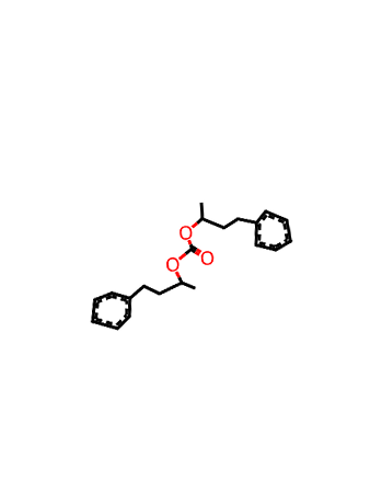 CC(CCc1ccccc1)OC(=O)OC(C)CCc1ccccc1